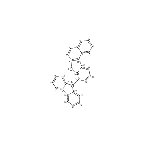 c1ccc2c(c1)ccc1oc3c(-n4c5ccccc5c5ccccc54)cccc3c12